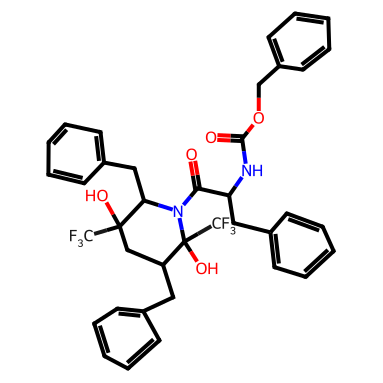 O=C(NC(Cc1ccccc1)C(=O)N1C(Cc2ccccc2)C(O)(C(F)(F)F)CC(Cc2ccccc2)C1(O)C(F)(F)F)OCc1ccccc1